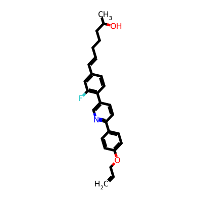 C=CCOc1ccc(-c2ccc(-c3ccc(C=CCCCC(C)O)cc3F)cn2)cc1